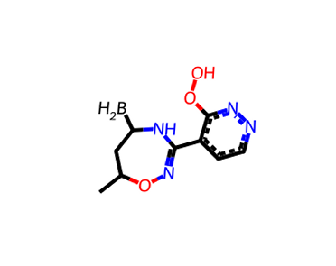 BC1CC(C)ON=C(c2ccnnc2OO)N1